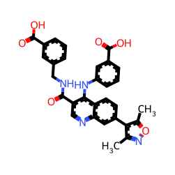 Cc1noc(C)c1-c1ccc2c(Nc3cccc(C(=O)O)c3)c(C(=O)NCc3cccc(C(=O)O)c3)cnc2c1